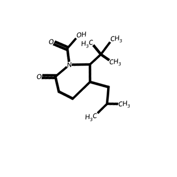 CC(C)CC1CCC(=O)N(C(=O)O)C1C(C)(C)C